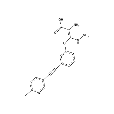 Cc1ccc(C#Cc2cccc(O/C(NN)=C(/N)C(=O)O)c2)cn1